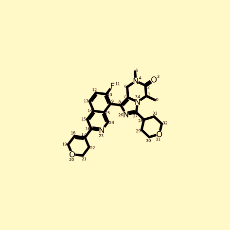 CC1C(=O)N(C)Cc2c(-c3c(F)ccc4cc(C5=CCOCC5)ncc34)nc(C3CCOCC3)n21